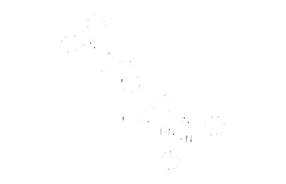 c1ccc(C2=NC(c3cccc4c3oc3cccc(-c5ccc6oc7cc(-n8c9ccccc9c9ccccc98)ccc7c6c5)c34)NC(c3ccccc3)=N2)cc1